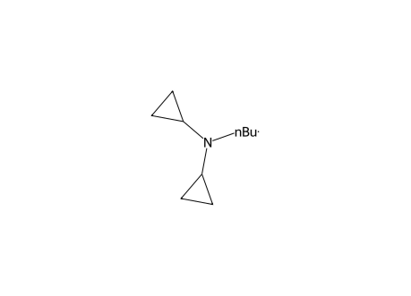 CCC[CH]N(C1CC1)C1CC1